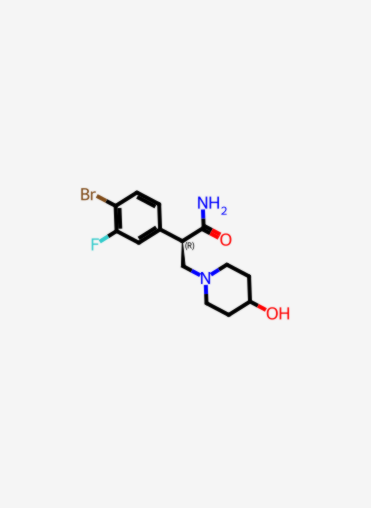 NC(=O)[C@@H](CN1CCC(O)CC1)c1ccc(Br)c(F)c1